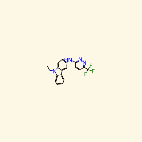 CCn1c2ccccc2c2cc(Nc3ccc(C(F)(F)F)nn3)ccc21